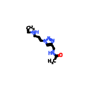 CCNCCCn1cc(CNC(C)=O)nn1